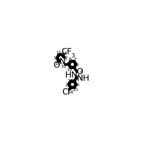 N=C(NC(=O)c1cccc(Cn2cc(C(F)(F)F)ccc2=O)c1)c1ccc(Cl)cc1